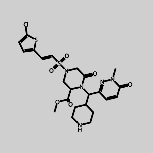 COC(=O)C1CN(S(=O)(=O)C=Cc2ccc(Cl)s2)CC(=O)N1C(c1ccc(=O)n(C)n1)C1CCNCC1